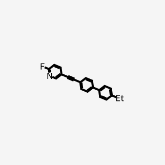 CCc1ccc(-c2ccc(C#Cc3ccc(F)nc3)cc2)cc1